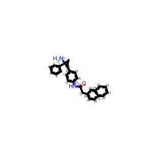 NC1(c2ccccc2)CC1c1ccc(NC(=O)Cc2ccc3ccccc3c2)cc1